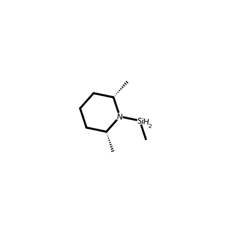 C[SiH2]N1[C@H](C)CCC[C@@H]1C